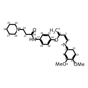 C=C(/C=C\N=C1\C=C(OC)C(OC)=CC1)Oc1ccc(NC(=O)CCN2CCCCC2)cc1